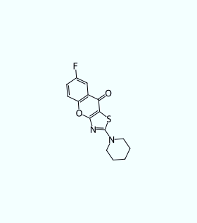 O=c1c2cc(F)ccc2oc2nc(N3CCCCC3)sc12